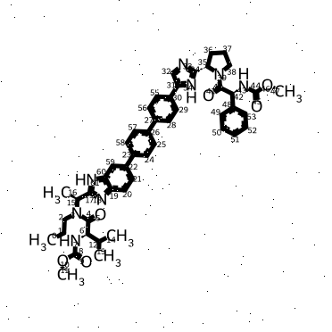 CCCN(C(=O)[C@@H](NC(=O)OC)C(C)C)[C@@H](C)c1nc2ccc(-c3ccc(-c4ccc(-c5cnc([C@@H]6CCCN6C(=O)[C@H](NC(=O)OC)c6ccccc6)[nH]5)cc4)cc3)cc2[nH]1